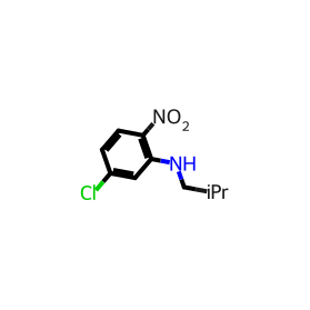 CC(C)CNc1cc(Cl)ccc1[N+](=O)[O-]